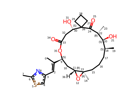 CC(=Cc1csc(C)n1)[C@@H]1C[C@H]2O[C@]2(C)CCC[C@H](C)[C@H](O)[C@@H](C)C(=O)C2(CCC2)[C@@H](O)CC(=O)O1